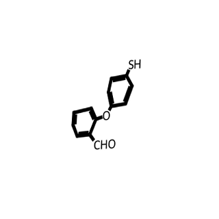 O=Cc1ccccc1Oc1ccc(S)cc1